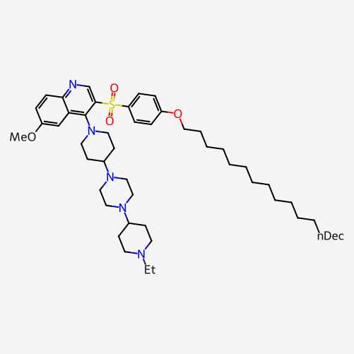 CCCCCCCCCCCCCCCCCCCCCCOc1ccc(S(=O)(=O)c2cnc3ccc(OC)cc3c2N2CCC(N3CCN(C4CCN(CC)CC4)CC3)CC2)cc1